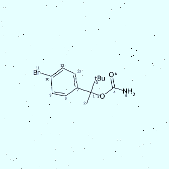 CC(C)(C)C(C)(OC(N)=O)c1ccc(Br)cc1